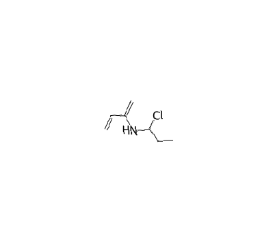 C=CC(=C)NC(Cl)CC